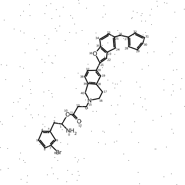 NC(Cc1cccc(Br)c1)OC(=O)CCN1CCc2cc(-c3cc4cc(Cc5ccccc5)ccc4o3)ccc2C1